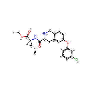 C=C[C@@H]1C[C@]1(NC(=O)C1Cc2cc(Oc3cccc(Cl)c3)ccc2CN1)C(=O)OCC